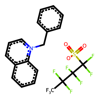 O=S(=O)([O-])C(F)(F)C(F)(F)C(F)(F)C(F)(F)F.c1ccc(C[n+]2cccc3ccccc32)cc1